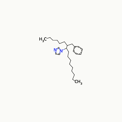 CCCCCCCCCC(C(CCCCCC)Cc1ccccc1)n1ccnc1